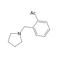 CC(=O)c1ccccc1CN1CCCC1